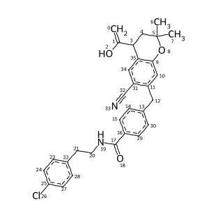 C=C(O)C1CC(C)(C)Oc2cc(Cc3ccc(C(=O)NCCc4ccc(Cl)cc4)cc3)c(C#N)cc21